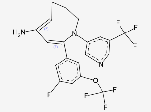 NC1=C\CCCN(c2cncc(C(F)(F)F)c2)/C(c2cc(F)cc(OC(F)(F)F)c2)=C\1